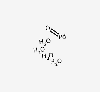 O.O.O.O.[O]=[Pd]